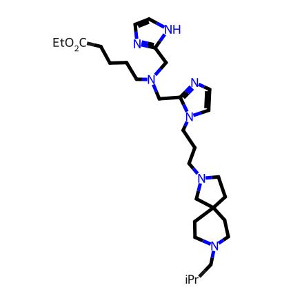 CCOC(=O)CCCCN(Cc1ncc[nH]1)Cc1nccn1CCCN1CCC2(CCN(CC(C)C)CC2)C1